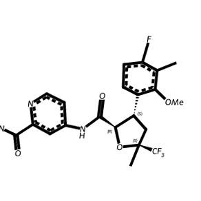 COc1c([C@@H]2C[C@@](C)(C(F)(F)F)O[C@H]2C(=O)Nc2ccnc(C(N)=O)c2)ccc(F)c1C